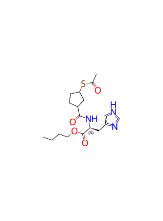 CCCCOC(=O)[C@H](Cc1c[nH]cn1)NC(=O)C1CCC(SC(C)=O)C1